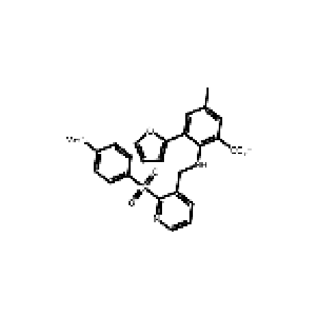 COc1ccc(S(=O)(=O)c2ncccc2CNc2c(C(=O)O)cc(C)cc2-c2ccco2)cc1